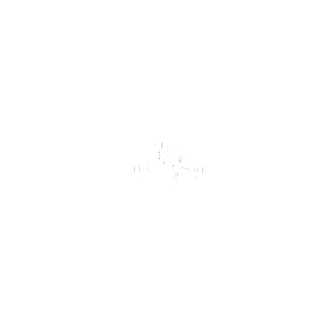 CN(C)S(O)(=S)=S